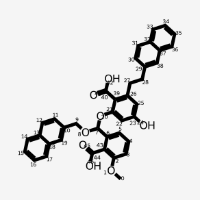 COc1cccc(C(OCc2ccc3ccccc3c2)Oc2cc(O)cc(CCc3ccc4ccccc4c3)c2C(=O)O)c1C(=O)O